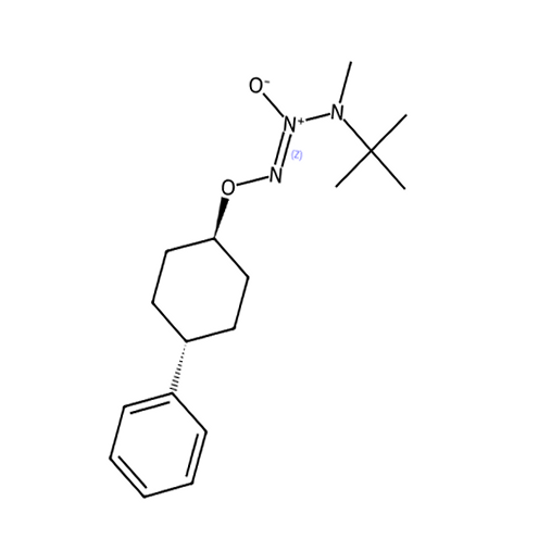 CN(/[N+]([O-])=N/O[C@H]1CC[C@H](c2ccccc2)CC1)C(C)(C)C